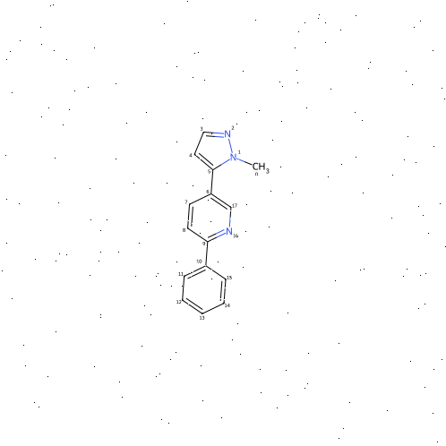 Cn1nccc1-c1ccc(-c2ccccc2)nc1